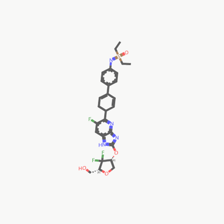 CCS(=O)(CC)=Nc1ccc(C2=CCC(c3nc4nc(O[C@@H]5CO[C@H](CO)C5(F)F)[nH]c4cc3F)C=C2)cc1